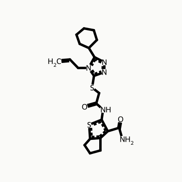 C=CCn1c(SCC(=O)Nc2sc3c(c2C(N)=O)CCC3)nnc1C1CCCCC1